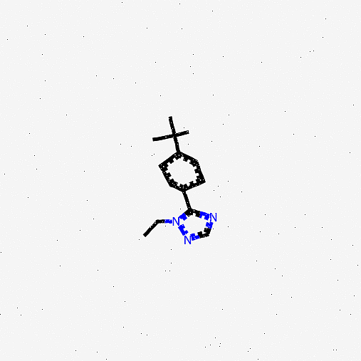 CCn1ncnc1-c1ccc(C(C)(C)C)cc1